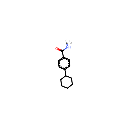 CNC(=O)c1ccc(C2CCCCC2)cc1